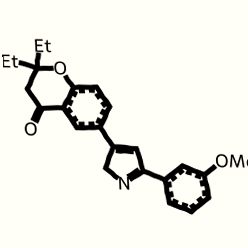 CCC1(CC)CC(=O)c2cc(C3=CC(c4cccc(OC)c4)=NC3)ccc2O1